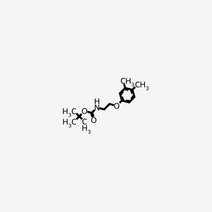 Cc1ccc(OCCNC(=O)OC(C)(C)C)cc1C